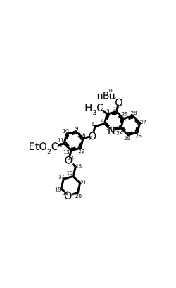 CCCCOc1c(C)c(COc2ccc(C(=O)OCC)c(OCC3CCOCC3)c2)nc2ccccc12